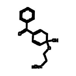 CCCCCCCCCCCCOC1(O)C=CC(C(=O)c2ccccc2)=CC1